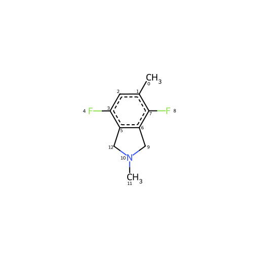 Cc1cc(F)c2c(c1F)CN(C)C2